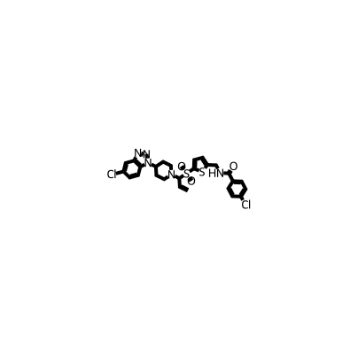 C=CC(N1CCC(n2nnc3cc(Cl)ccc32)CC1)S(=O)(=O)c1ccc(CNC(=O)c2ccc(Cl)cc2)s1